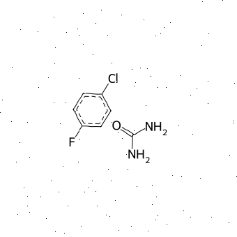 Fc1ccc(Cl)cc1.NC(N)=O